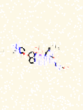 COCCN(C)CCNC(=O)c1nc(NC(=O)N[C@@]2(C=O)C=C[C@@H](Oc3ccc4nnc(C(C)C)n4c3)c3ccccc32)cc(C(C)(C)C)n1